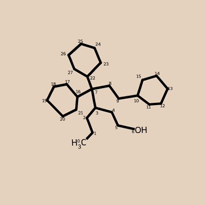 CCCC(CCO)C(CCC1CCCCC1)(C1CCCCC1)C1CCCCC1